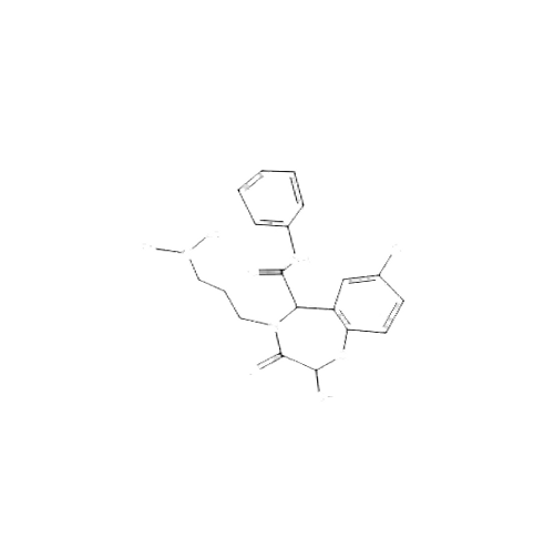 CCN(CC)CCCN1C(=O)C(C(C)C)Oc2ccc(Cl)cc2C1C(=O)Nc1ccccc1